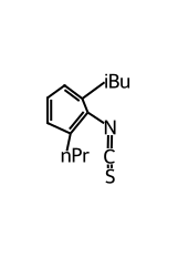 CCCc1cccc(C(C)CC)c1N=C=S